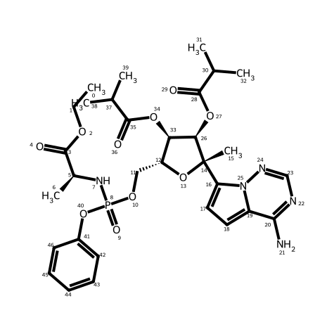 CCOC(=O)[C@H](C)NP(=O)(OC[C@H]1O[C@@](C)(c2ccc3c(N)ncnn23)[C@H](OC(=O)C(C)C)[C@@H]1OC(=O)C(C)C)Oc1ccccc1